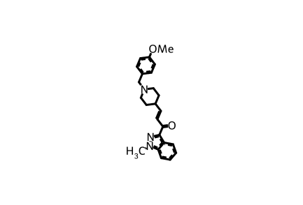 COc1ccc(CN2CCC(C=CC(=O)c3nn(C)c4ccccc34)CC2)cc1